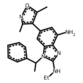 CCNc1nc2c(N)cc(-c3c(C)noc3C)cc2n1C(C)c1ccccc1